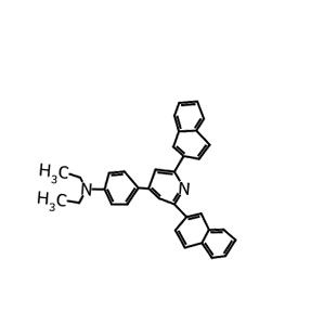 CCN(CC)c1ccc(-c2cc(-c3ccc4ccccc4c3)nc(-c3ccc4ccccc4c3)c2)cc1